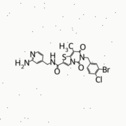 Cc1c(=O)n(Cc2ccc(Cl)c(Br)c2)c(=O)n2cc(C(=O)NCc3ccnc(N)c3)sc12